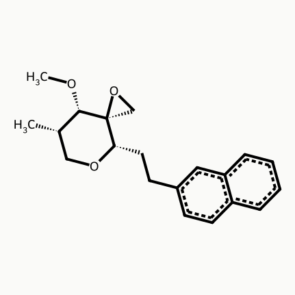 CO[C@H]1[C@@H](C)CO[C@@H](CCc2ccc3ccccc3c2)[C@@]12CO2